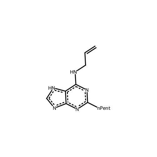 C=CCNc1nc(CCCCC)nc2nc[nH]c12